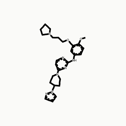 COc1ccc(Nc2nccc(N3CCC(n4cccn4)CC3)n2)cc1OCCCN1CCCC1